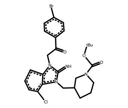 CC(C)(C)OC(=O)N1CCCC(Cn2c(=N)n(CC(=O)c3ccc(Br)cc3)c3cccc(Cl)c32)C1